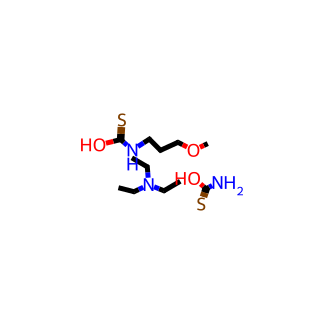 CCN(CC)CC.COCCCNC(O)=S.NC(O)=S